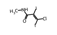 CNC(=O)C(I)=C(Cl)I